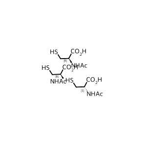 CC(=O)N[C@@H](CS)C(=O)O.CC(=O)N[C@@H](CS)C(=O)O.CC(=O)N[C@H](CS)C(=O)O